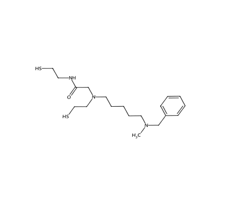 CN(CCCCCN(CCS)CC(=O)NCCS)Cc1ccccc1